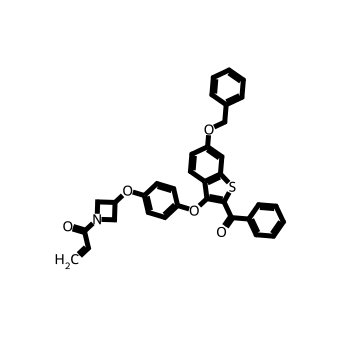 C=CC(=O)N1CC(Oc2ccc(Oc3c(C(=O)c4ccccc4)sc4cc(OCc5ccccc5)ccc34)cc2)C1